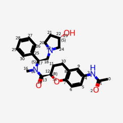 CC(=O)Nc1ccc2c(c1)CC[C@H](C(=O)N(C)[C@H](CN1CC[C@H](O)C1)c1ccccc1)O2